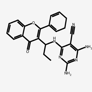 CCC(Nc1nc(N)nc(N)c1C#N)c1c(C2=CCCC=C2)oc2ccccc2c1=O